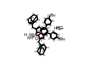 CC[CH2][Zr]([CH3])(=[SiH2])([CH]1C(CC2C3CC4CC(C3)CC2C4)=Cc2c(-c3ccc(C(C)CC)cc3)cccc21)[CH]1C(CC2C3CC4CC(C3)CC2C4)=Cc2c(-c3ccc(C(C)CC)cc3)cccc21.Cl.Cl